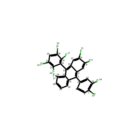 Fc1ccc(-c2c3cc(F)c(F)cc3c(-c3c(F)c(F)cc(F)c3F)c3c(F)cccc23)cc1F